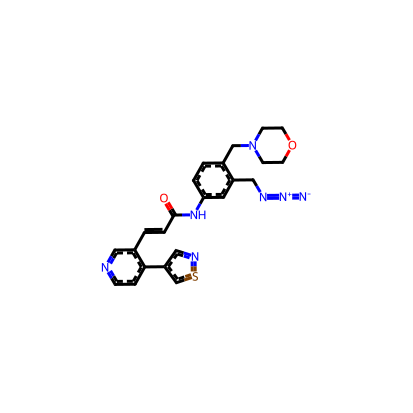 [N-]=[N+]=NCc1cc(NC(=O)/C=C/c2cnccc2-c2cnsc2)ccc1CN1CCOCC1